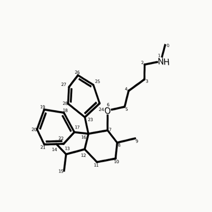 CNCCCCOC1C(C)CCC(C(C)C)C1(c1ccccc1)c1ccccc1